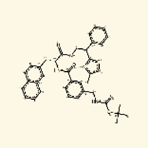 Cc1noc(C(CNC(=O)[C@@H](Cc2ccc3ccccc3c2)NC(=O)c2cccc(CNC(=O)OC(C)(C)C)c2)c2ccccc2)n1